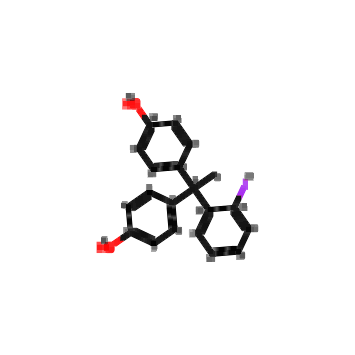 CC(c1ccc(O)cc1)(c1ccc(O)cc1)c1ccccc1I